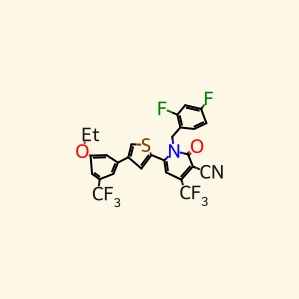 CCOc1cc(-c2csc(-c3cc(C(F)(F)F)c(C#N)c(=O)n3Cc3ccc(F)cc3F)c2)cc(C(F)(F)F)c1